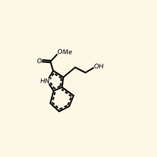 COC(=O)c1[nH]c2ccccc2c1CCO